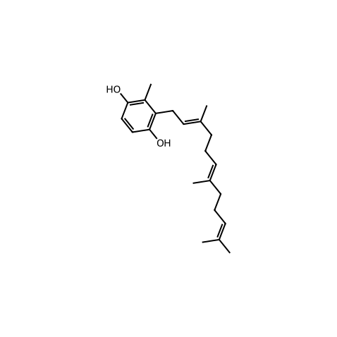 CC(C)=CCC/C(C)=C/CC/C(C)=C/Cc1c(O)ccc(O)c1C